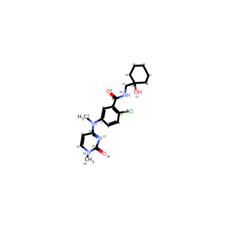 CN(c1ccc(Cl)c(C(=O)NCC2(O)CCCCC2)c1)c1ccn(C)c(=O)n1